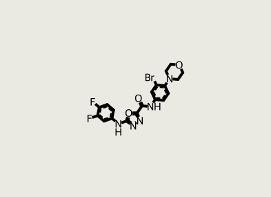 O=C(Nc1ccc(N2CCOCC2)c(Br)c1)c1nnc(Nc2ccc(F)c(F)c2)o1